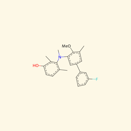 COc1c(C)cc(-c2cccc(F)c2)cc1N(C)c1c(C)ccc(O)c1C